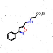 CCOC(=O)CCNCc1cc(-c2ccccc2)no1